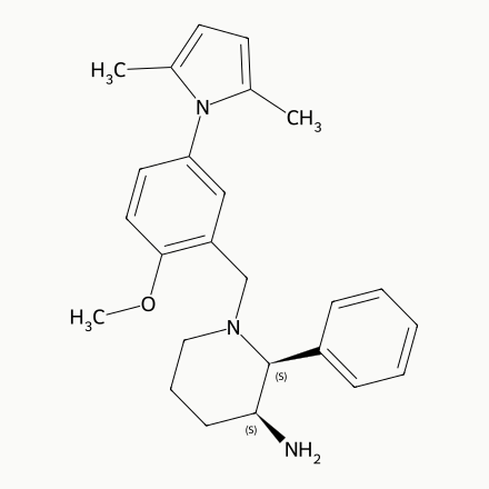 COc1ccc(-n2c(C)ccc2C)cc1CN1CCC[C@H](N)[C@@H]1c1ccccc1